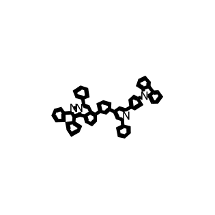 c1ccc(-c2cc(-c3cccc(-c4cccc5c4cc(-c4ccccc4)n4nc(-c6ccccc6)c(-c6ccccc6)c54)c3)cc(-c3ccc(-n4c5ccccc5c5ccccc54)cc3)n2)cc1